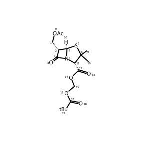 CC(=O)OC[C@H]1C(=O)N2[C@@H]1SC(C)(C)[C@@H]2C(=O)OCOC(=O)C(C)(C)C